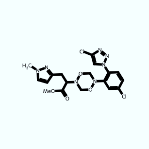 COC(=O)C(Cc1ccn(C)n1)N1CON(c2cc(Cl)ccc2-n2cc(Cl)nn2)CO1